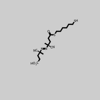 C[C@](C#N)(CCC(=O)O)N=N[C@@](C)(C#N)CCC(=O)SCCCCCCS